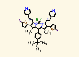 CC1=C(c2ccc(I)s2)C(/C=C/c2ccncc2)=[N+]2C1=C(c1ccc(C(C)(C)C)cc1)c1c(C)c(-c3ccc(I)s3)c(/C=C/c3ccncc3)n1[B-]2(F)F